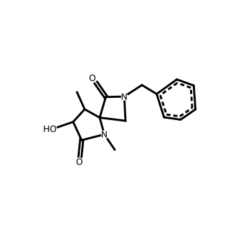 CC1C(O)C(=O)N(C)C12CN(Cc1ccccc1)C2=O